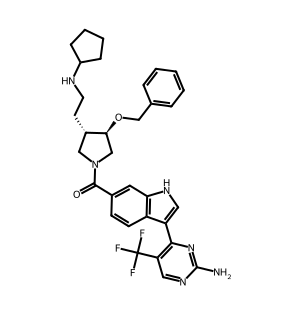 Nc1ncc(C(F)(F)F)c(-c2c[nH]c3cc(C(=O)N4C[C@H](CCNC5CCCC5)[C@@H](OCc5ccccc5)C4)ccc23)n1